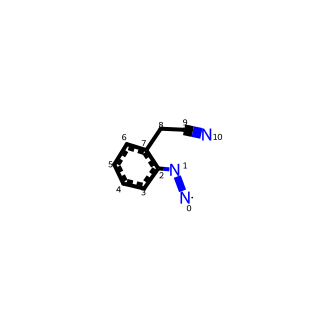 [N]=Nc1ccccc1CC#N